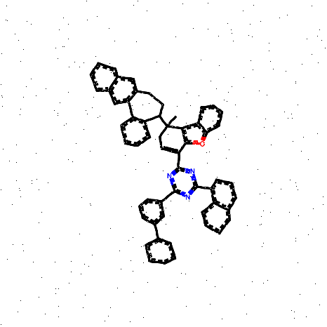 CC1(C2CCc3cc4ccccc4cc3-c3ccccc32)CC=C(c2nc(-c3cccc(-c4ccccc4)c3)nc(-c3cccc4ccccc34)n2)c2oc3ccccc3c21